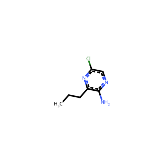 CCCc1nc(Cl)cnc1N